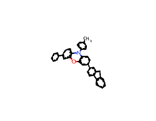 Cc1ccc(N2c3ccc(-c4ccccc4)cc3Oc3cc(-c4ccc5c(c4)Cc4ccccc4-5)ccc32)cc1